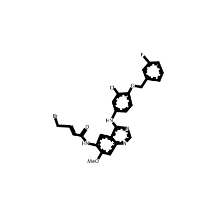 COc1cc2ncnc(Nc3ccc(OCc4cccc(F)c4)c(Cl)c3)c2cc1NC(=O)C=CCBr